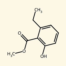 CCc1cccc(O)c1C(=O)OC